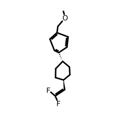 COCc1ccc([C@H]2CC[C@H](C=C(F)F)CC2)cc1